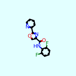 O=C(Nc1c(F)cccc1F)c1coc(-c2ccccn2)n1